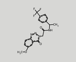 COc1ccc2nnn(CC(=O)NC(C)c3ccc(C(F)(F)F)cc3)c(=O)c2c1